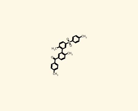 Cc1ccc(C(=O)c2ccc(C)c(-c3cc(S(=O)(=O)c4ccc(C)cc4)ccc3C)c2)cc1